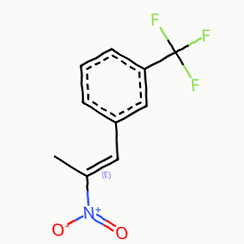 C/C(=C\c1cccc(C(F)(F)F)c1)[N+](=O)[O-]